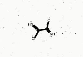 N=C(Cl)C(=N)Cl